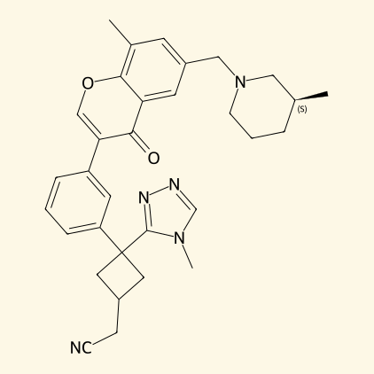 Cc1cc(CN2CCC[C@H](C)C2)cc2c(=O)c(-c3cccc(C4(c5nncn5C)CC(CC#N)C4)c3)coc12